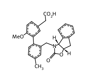 COc1ccc(CC(=O)O)cc1-c1ccc(C)cc1CN1C(=O)O[C@H]2Cc3ccccc3[C@H]21